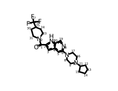 O=C(c1cc2cc(N3CCN(C4CCCC4)CC3)ncc2[nH]1)N1CCC(C(F)(F)F)CC1